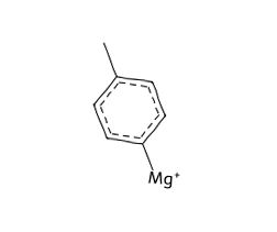 Cc1cc[c]([Mg+])cc1